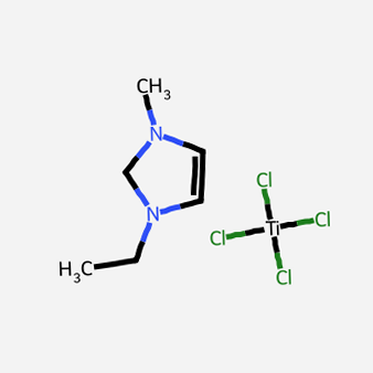 CCN1C=CN(C)C1.[Cl][Ti]([Cl])([Cl])[Cl]